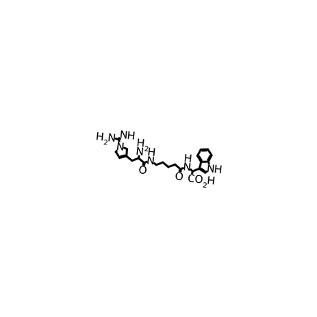 N=C(N)N1CC=C(CC(N)C(=O)NCCCCC(=O)NC(C(=O)O)c2c[nH]c3ccccc23)C1